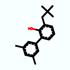 Cc1cc(C)cc(-c2cccc(CC(C)(C)C)c2O)c1